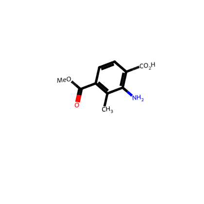 COC(=O)c1ccc(C(=O)O)c(N)c1C